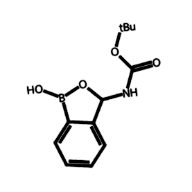 CC(C)(C)OC(=O)NC1OB(O)c2ccccc21